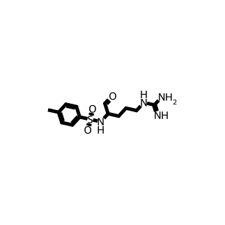 Cc1ccc(S(=O)(=O)NC(C=O)CCCNC(=N)N)cc1